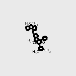 Cc1cc(C)cc(-c2cc3c(c4c2oc2ccccc24)-c2ccc(Cc4cccc5c4-c4ccccc4C5(C)C)cc2C3(C)C)c1